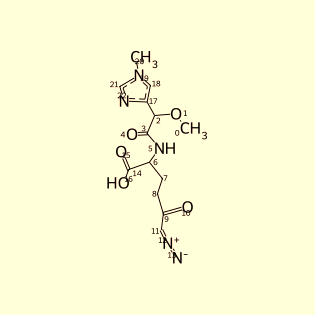 COC(C(=O)NC(CCC(=O)C=[N+]=[N-])C(=O)O)c1cn(C)cn1